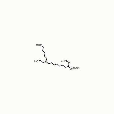 CCCCCCCCOC(CCCCCCCN(CCO)CCCCCC=O)OCCCCCCCC